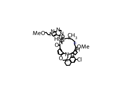 COCCn1cc2c(N[S@@]3(=O)=NC(=O)c4ccc5c(c4)N(C[C@@H]4CC[C@H]4[C@@H](OC)/C=C/C[C@H](C)C3)C[C@@]3(CCCc4cc(Cl)ccc43)CO5)ncnc2n1